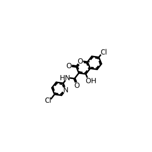 O=C(Nc1ccc(Cl)cn1)c1c(O)c2ccc(Cl)cc2oc1=O